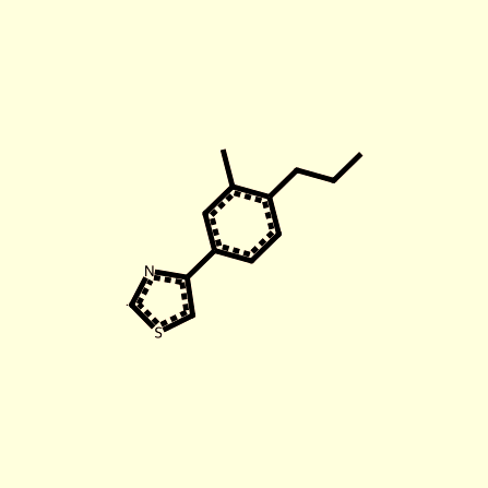 CCCc1ccc(-c2cs[c]n2)cc1C